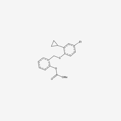 CCc1ccc(OCc2ccccc2OC(=O)OC)c(C2CC2)c1